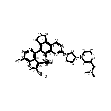 CN(C)CC1CN([C@@H]2CCN(c3ncc4c5c(c(-c6ncc(F)c7sc(N)c(C#N)c67)c(F)c4n3)COC5)C2)CCO1